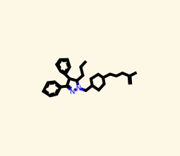 C=C(C)CCCC1CCC(CN2N=C(c3ccccc3)C(c3ccccc3)C2CCC)CC1